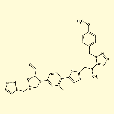 COc1ccc(Cn2nncc2N(C)Cc2ccc(-c3ccc(N4C[C@H](Cn5ccnn5)OC4C=O)cc3F)s2)cc1